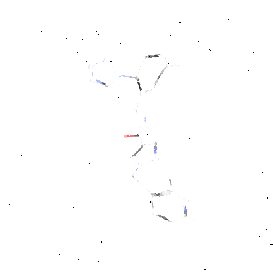 Cc1nc(F)ccc1Cn1cc(C(=O)NCc2cc(Cl)ccc2N2C=NNN2)cn1